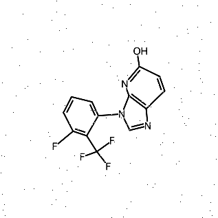 Oc1ccc2ncn(-c3cccc(F)c3C(F)(F)F)c2n1